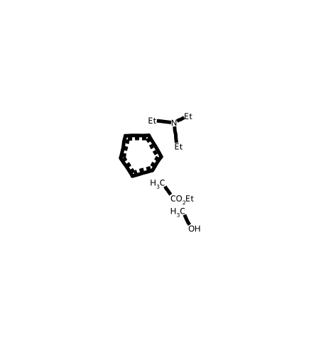 CCN(CC)CC.CCOC(C)=O.CO.c1ccccc1